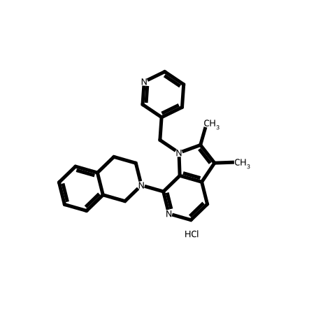 Cc1c(C)n(Cc2cccnc2)c2c(N3CCc4ccccc4C3)nccc12.Cl